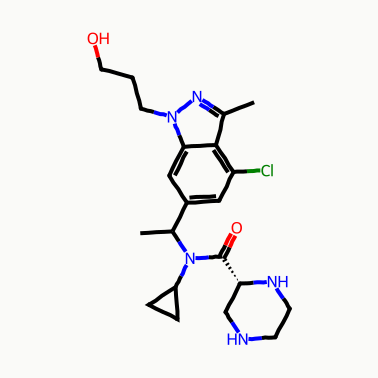 Cc1nn(CCCO)c2cc(C(C)N(C(=O)[C@H]3CNCCN3)C3CC3)cc(Cl)c12